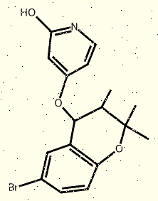 CC1C(Oc2ccnc(O)c2)c2cc(Br)ccc2OC1(C)C